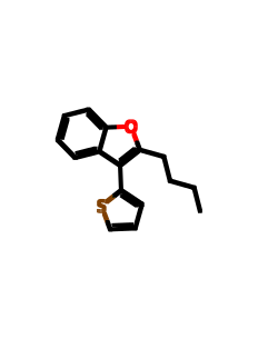 CCCCc1oc2ccccc2c1-c1cccs1